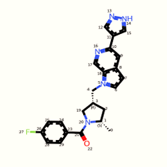 C[C@H]1C[C@@H](Cn2ccc3cc(-c4cn[nH]c4)ncc32)CN1C(=O)c1ccc(F)cc1